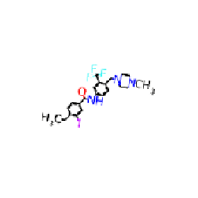 CCc1ccc(C(=O)Nc2ccc(CN3CCN(C)CC3)c(C(F)(F)F)c2)cc1I